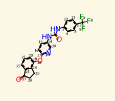 O=C(Nc1ccc(C(F)(F)F)cc1)Nc1ccc(Oc2cccc3c2CCC3=O)nc1